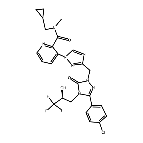 CN(CC1CC1)C(=O)c1ncccc1-n1cnc(Cn2nc(-c3ccc(Cl)cc3)n(C[C@H](O)C(F)(F)F)c2=O)n1